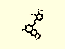 COc1cccc(/C=C/C2=NN=C(C)Cc3cc4c(cc32)OCO4)c1OC